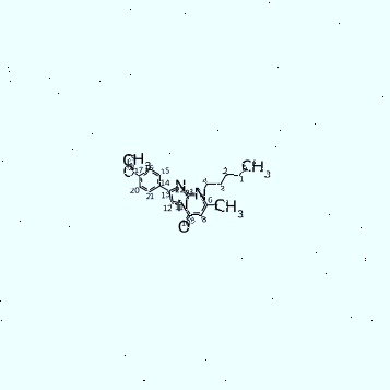 CCCCCn1c(C)cc(=O)n2cc(-c3ccc(OC)cc3)nc12